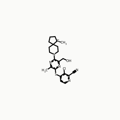 Cc1nc(N2CCC3(CCC[C@H]3C)CC2)c(CO)nc1Sc1ccnc(C#N)c1Cl